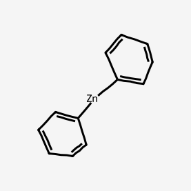 c1cc[c]([Zn][c]2ccccc2)cc1